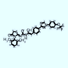 C/C(=C\c1ccc(-c2ncn(-c3ccc(OC(F)(F)F)cc3)n2)cc1)NC(=O)/N=C1\SCC(=O)N1c1c(C)cccc1C